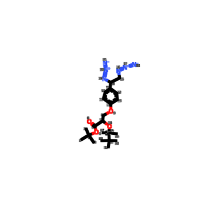 CC(C)(C)OC(=O)C(COc1ccc(C(CN=[N+]=[N-])N=[N+]=[N-])cc1)O[Si](C)(C)C(C)(C)C